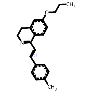 CCCOc1ccc2c(c1)CCN=C2/C=C/c1ccc(C)cc1